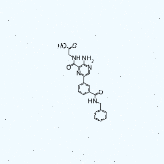 Nc1ncc(-c2cccc(C(=O)NCc3ccccc3)c2)nc1C(=O)NCC(=O)O